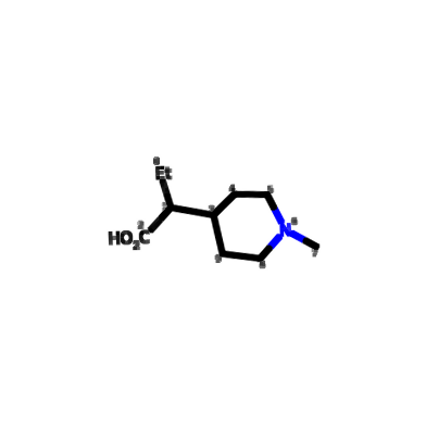 CCC(C(=O)O)C1CCN(C)CC1